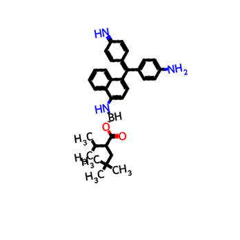 CC(C)C(CC(C)(C)C)C(=O)OBNc1ccc(C(=C2C=CC(=N)C=C2)c2ccc(N)cc2)c2ccccc12